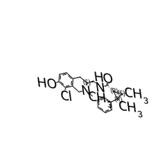 C[C@H]1[C@@H](C(=O)NC[C@@H]2Cc3ccc(O)c(Cl)c3CN2C)[C@]1(C)c1ccccc1